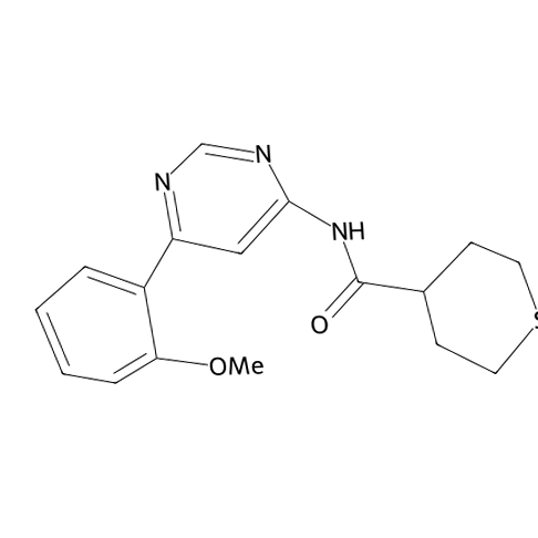 COc1ccccc1-c1cc(NC(=O)C2CCSCC2)ncn1